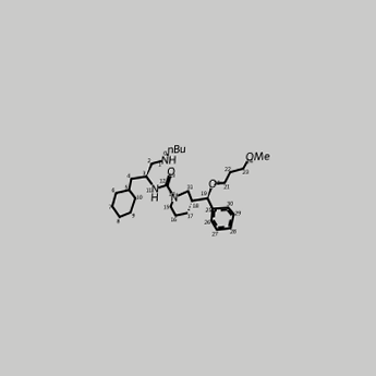 CCCCNC[C@H](CC1CCCCC1)NC(=O)N1CCC[C@@H]([C@@H](OCCCOC)c2ccccc2)C1